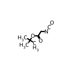 CC(C)(C)OC(=O)CN=C=O